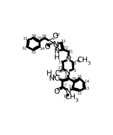 C[C@@H]1CN(c2c(C#N)c(=O)n(C)c3ccccc23)[C@@H](C)CN1Cc1cn(S(=O)(=O)Cc2ccccc2)[nH]1